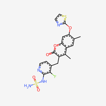 Cc1cc2c(C)c(Cc3ccnc(NS(N)(=O)=O)c3F)c(=O)oc2cc1Oc1nccs1